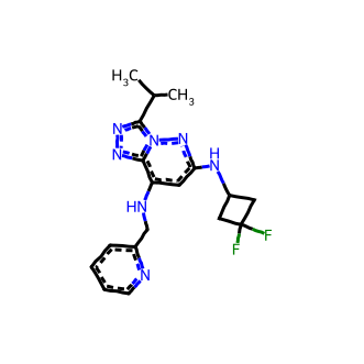 CC(C)c1nnc2c(NCc3ccccn3)cc(NC3CC(F)(F)C3)nn12